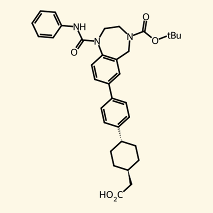 CC(C)(C)OC(=O)N1CCN(C(=O)Nc2ccccc2)c2ccc(-c3ccc([C@H]4CC[C@H](CC(=O)O)CC4)cc3)cc2C1